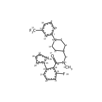 CN(CC1CCN(c2nccc(C(F)(F)F)n2)CC1)C(=O)c1c(F)cccc1-n1nccn1